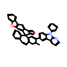 CC1CC2=C(C=C1c1ccc3c(c1)c1cccnc1n3-c1ccccc1)C1(c3ccccc3C=C2)c2ccccc2-c2cc3c(cc21)oc1ccccc13